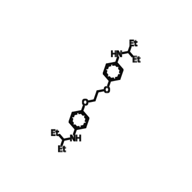 CCC(CC)Nc1ccc(OCCOc2ccc(NC(CC)CC)cc2)cc1